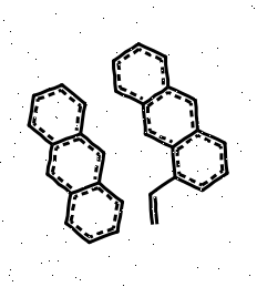 C=Cc1cccc2cc3ccccc3cc12.c1ccc2cc3ccccc3cc2c1